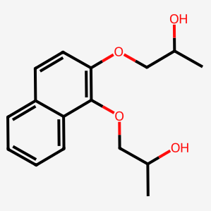 CC(O)COc1ccc2ccccc2c1OCC(C)O